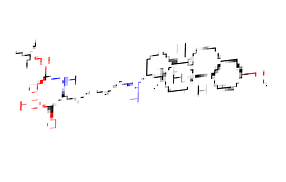 COc1ccc2c(c1)CC[C@@H]1[C@@H]2CC[C@]2(C)C(NCCCCC(NC(=O)OC(C)(C)C)C(=O)O)CC[C@@H]12